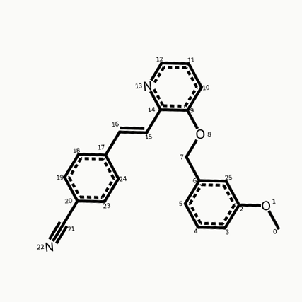 COc1cccc(COc2cccnc2/C=C/c2ccc(C#N)cc2)c1